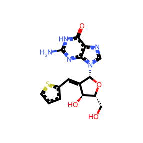 Nc1nc2c(ncn2[C@@H]2O[C@H](CO)[C@@H](O)C2=Cc2cccs2)c(=O)[nH]1